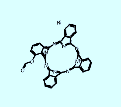 O=COc1cccc2c3nc4nc(nc5[nH]c(nc6nc(nc([nH]3)c12)-c1ccccc1-6)c1ccccc51)-c1ccccc1-4.[Ni]